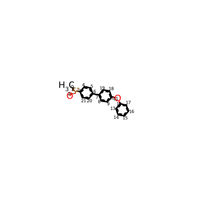 C[S+]([O-])c1ccc(-c2ccc(Oc3ccccc3)cc2)cc1